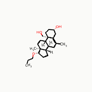 CCCO[C@H]1CC[C@H]2[C@@H]3CC(C)=C4C[C@@H](O)CC[C@]4(CO)[C@H]3CC[C@]12C